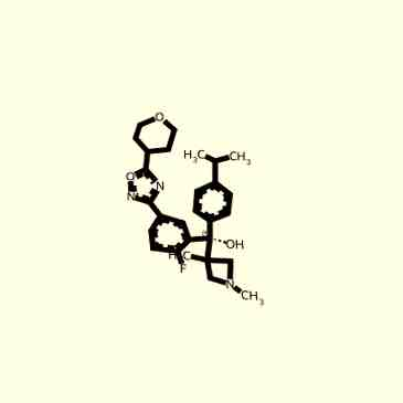 CC(C)c1ccc([C@](O)(c2cc(-c3noc(C4CCOCC4)n3)ccc2F)C2(C)CN(C)C2)cc1